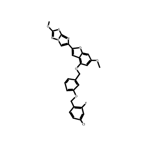 COc1cc(OCc2cccc(OCc3ccc(Cl)cc3F)c2)c2cc(-c3cn4nc(OC)sc4n3)oc2c1